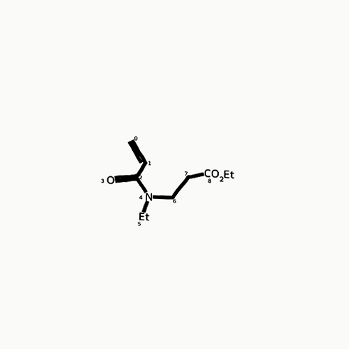 C=CC(=O)N(CC)CCC(=O)OCC